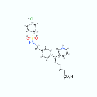 O=C(O)CCCCC(c1ccc(CCNS(=O)(=O)c2ccc(Cl)cc2)cc1)c1cccnc1